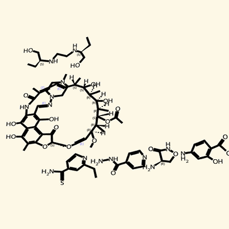 CC[C@@H](CO)NCCN[C@@H](CC)CO.CCc1cc(C(N)=S)ccn1.CO[C@H]1/C=C/O[C@@]2(C)Oc3c(C)c(O)c4c(O)c(c(/C=N/N5CCN(C)CC5)c(O)c4c3C2=O)NC(=O)/C(C)=C\C=C\[C@H](C)[C@H](O)[C@@H](C)[C@@H](O)[C@@H](C)[C@H](OC(C)=O)[C@@H]1C.NNC(=O)c1ccncc1.N[C@@H]1CONC1=O.Nc1ccc(C(=O)O)c(O)c1